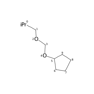 CC(C)COCOC1CCCC1